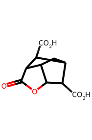 O=C(O)C1C2CC3C1OC(=O)C3C2C(=O)O